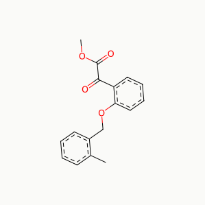 COC(=O)C(=O)c1ccccc1OCc1ccccc1C